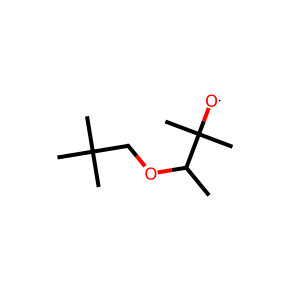 CC(OCC(C)(C)C)C(C)(C)[O]